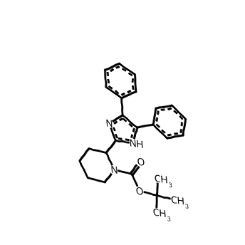 CC(C)(C)OC(=O)N1CCCCC1c1nc(-c2ccccc2)c(-c2ccccc2)[nH]1